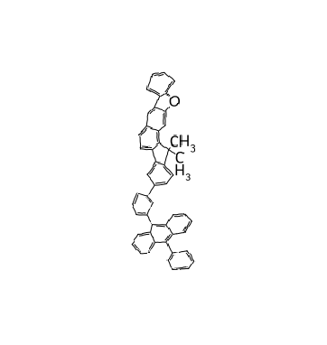 CC1(C)c2ccc(-c3cccc(-c4c5ccccc5c(-c5ccccc5)c5ccccc45)c3)cc2-c2ccc3cc4c(cc3c21)oc1ccccc14